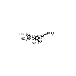 COC(=O)c1cc(OC[C@@H](COS(=O)(=O)O)OS(=O)(=O)O)ccc1OCCCCOS(=O)(=O)O